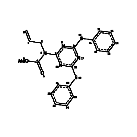 C=CCN(C(=O)OC)c1nc(Sc2ccccc2)nc(Sc2ccccc2)n1